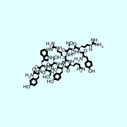 N=C(N)NCCC[C@H](NC(=O)[C@H](CO)NC(=O)[C@H](CCCNC(=N)N)NC(=O)[C@@H](N)Cc1ccc(O)cc1)C(=O)N[C@@H](CCCCN)C(=O)N[C@@H](Cc1ccc(O)cc1)C(=O)N[C@@H](CO)C(=O)N[C@@H](CO)C(=O)N[C@@H](Cc1c[nH]c2ccccc12)C(=O)N[C@@H](Cc1ccc(O)cc1)C(N)=O